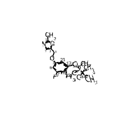 Cc1ncc(COc2cc(F)cc(O[Si](C)(C)C(C)(C)C)c2)o1